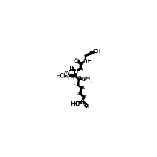 C#CCNC(=O)Cn1nnnc1C(N)CCCCB(O)O.Cl